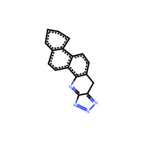 c1ccc2c(c1)ccc1c3c(ccc12)CC1=NN=NC1=N3